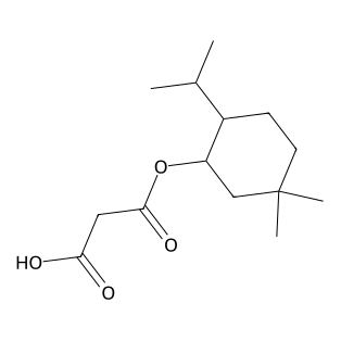 CC(C)C1CCC(C)(C)CC1OC(=O)CC(=O)O